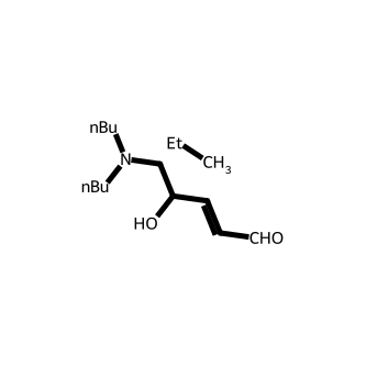 CCC.CCCCN(CCCC)CC(O)C=CC=O